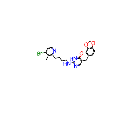 Cc1c(Br)ccnc1CCCCNc1ncc(Cc2ccc3c(c2)OCO3)c(=O)[nH]1